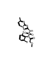 COCC(=O)N(c1c(F)cccc1F)S(=O)(=O)Nc1nc2nc(C)ccn2n1